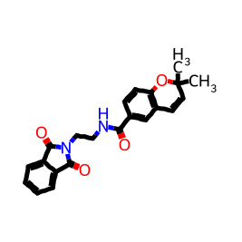 CC1(C)C=Cc2cc(C(=O)NCCN3C(=O)c4ccccc4C3=O)ccc2O1